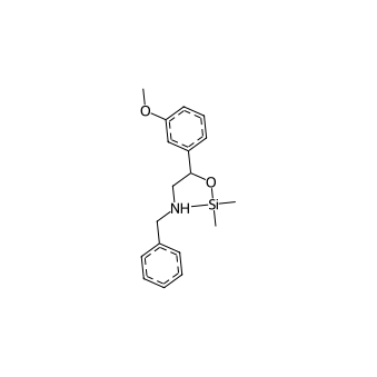 COc1cccc(C(CNCc2ccccc2)O[Si](C)(C)C)c1